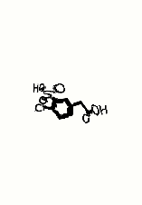 O=C(O)Cc1ccc(Cl)c(S(=O)(=O)O)c1